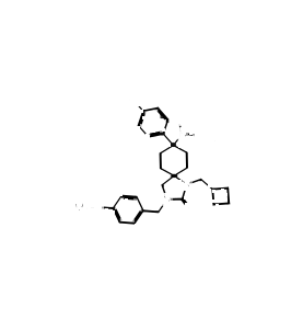 COc1ccc(CN2CC3(CCC(c4ccc(O)cc4)(N(C)C)CC3)N(CC3CCC3)C2=O)cc1